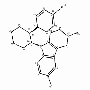 Cc1ccc2c(c1)c1c(n2[C@H]2CCCC[C@H]2C2C=CC(F)=CC2)CCN(C)C1